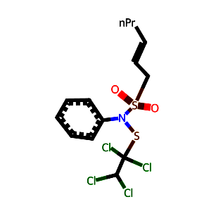 CCCC=CCS(=O)(=O)N(SC(Cl)(Cl)C(Cl)Cl)c1ccccc1